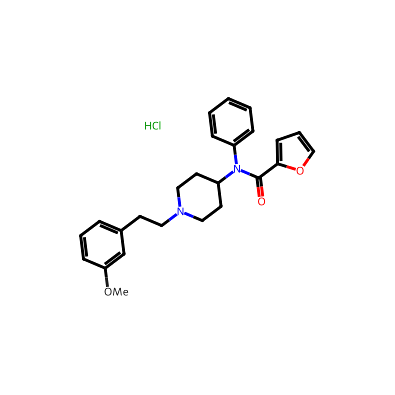 COc1cccc(CCN2CCC(N(C(=O)c3ccco3)c3ccccc3)CC2)c1.Cl